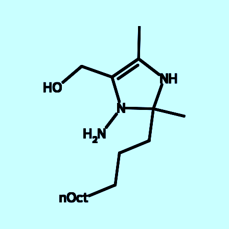 CCCCCCCCCCCC1(C)NC(C)=C(CO)N1N